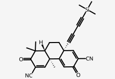 CC1(C)C(=O)C(C#N)=C[C@]2(C)C3=CC(=O)C(C#N)=C[C@]3(C#CC#C[Si](C)(C)C)CC[C@@H]12